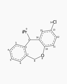 CC(C)C1c2ccccc2COc2ccc(Cl)cc21